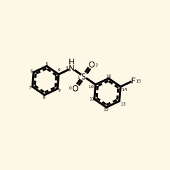 O=S(=O)(Nc1c[c]ccc1)c1cccc(F)c1